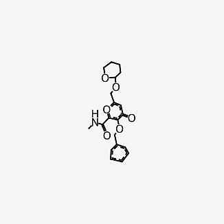 CNC(=O)c1oc(COC2CCCCO2)cc(=O)c1OCc1ccccc1